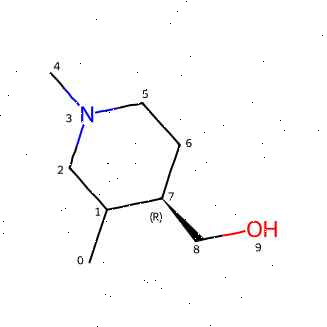 CC1CN(C)CC[C@H]1CO